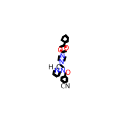 C[C@@H](CN(C(=O)c1ccc(C#N)cc1)c1ccccn1)N1CCN(C2=COC(C3=CC=CCC3)=CO2)CC1